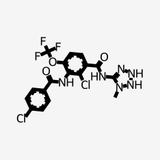 CN1NNN=C1NC(=O)c1ccc(OC(F)(F)F)c(NC(=O)c2ccc(Cl)cc2)c1Cl